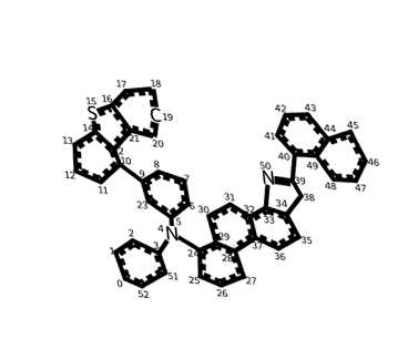 c1ccc(N(c2cccc(-c3cccc4sc5ccccc5c34)c2)c2cccc3c2ccc2c4c(ccc23)CC(c2cccc3ccccc23)=N4)cc1